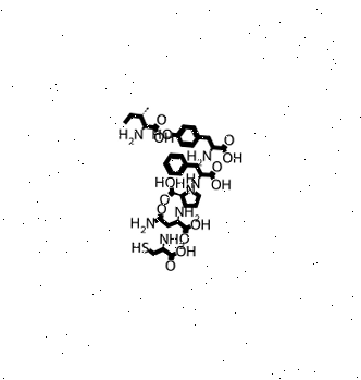 CC[C@H](C)[C@H](N)C(=O)O.NC(=O)C[C@H](N)C(=O)O.N[C@@H](CS)C(=O)O.N[C@@H](Cc1ccc(O)cc1)C(=O)O.N[C@@H](Cc1ccccc1)C(=O)O.O=C(O)[C@@H]1CCCN1